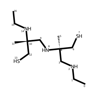 CCNC[C@](C)(CS)NC[C@](C)(CS)NCC